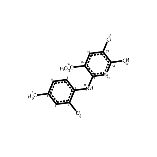 CCc1cc(C)ccc1Nc1nc(C#N)c(Cl)cc1C(=O)O